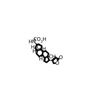 C[C@]12CC[C@H](NC(=O)O)C[C@H]1CC[C@H]1C3=CC[C@H](C4=CC(=O)OC4)[C@@]3(C)CC[C@@H]12